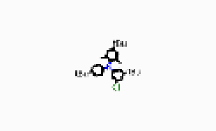 Cc1cc(C(C)(C)C)cc(C)c1N(c1ccc(C(C)(C)C)cc1)c1cc(Cl)cc(C(C)(C)C)c1